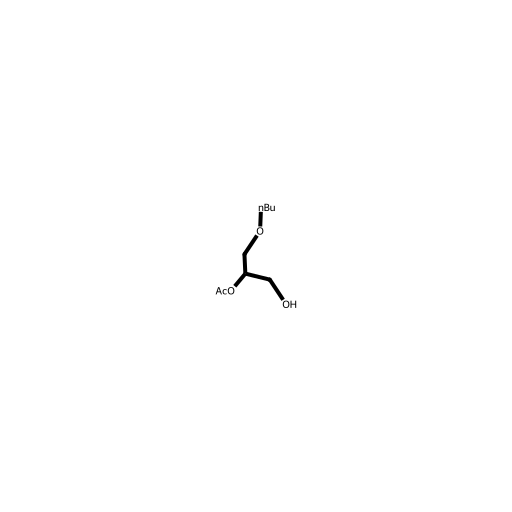 CCCCOCC(CO)OC(C)=O